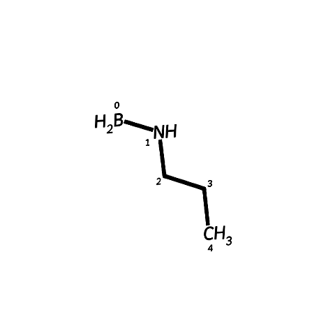 BNCCC